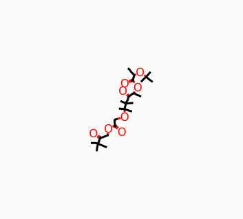 CC(OC(C)(C)C)C(=O)OC(C)C(=O)C(C)(C)C(C)(C)OCC(=O)OCC(=O)C(C)(C)C